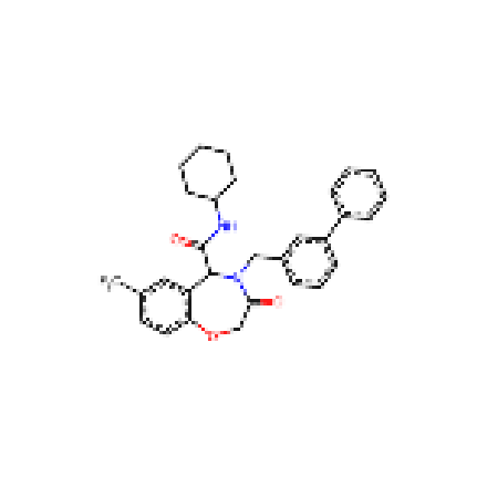 O=C(NC1CCCCC1)C1c2cc(C(F)(F)F)ccc2OCC(=O)N1Cc1cccc(-c2ccccc2)c1